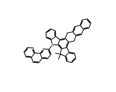 CC1(C)c2ccccc2-c2c3c(c4c5ccccc5n(-c5ccc6ccc7cccnc7c6n5)c4c21)Cc1cc2ccccc2cc1C3